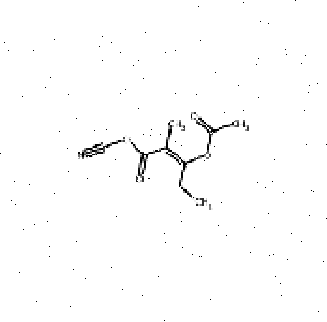 CCC(OC(C)=O)=C(C)C(=O)OC#N